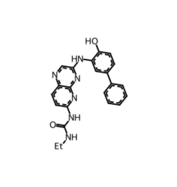 CCNC(=O)Nc1ccc2ncc(Nc3cc(-c4ccccc4)ccc3O)nc2n1